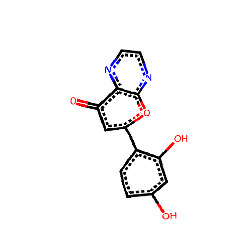 O=c1cc(-c2ccc(O)cc2O)oc2nccnc12